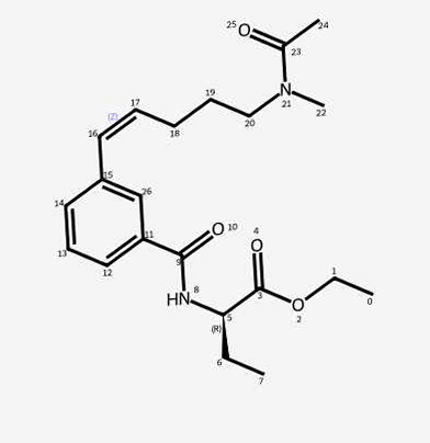 CCOC(=O)[C@@H](CC)NC(=O)c1cccc(/C=C\CCCN(C)C(C)=O)c1